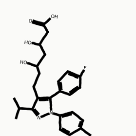 Cc1ccc(-n2nc(C(C)C)c(CCC(O)CC(O)CC(=O)O)c2-c2ccc(F)cc2)cc1